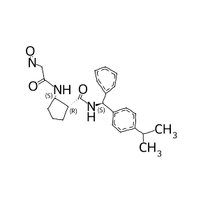 CC(C)c1ccc([C@@H](NC(=O)[C@@H]2CCC[C@@H]2NC(=O)CN=O)c2ccccc2)cc1